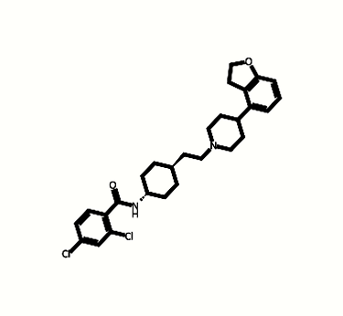 O=C(N[C@H]1CC[C@H](CCN2CCC(c3cccc4c3CCO4)CC2)CC1)c1ccc(Cl)cc1Cl